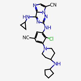 N#Cc1cc(Nc2nc(NC3CC3)c3ncc(C#N)n3n2)c(Cl)c(N2CCC(NC3CCCC3)CC2)c1